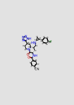 N#Cc1ccc(C(=O)N[C@@H](CCCN[C@@H]2C[C@H]2c2ccc(F)cc2)C(=O)N2CCC(c3nnn[nH]3)CC2)cc1